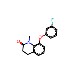 CN1C(=O)CCc2cccc(Oc3cccc(F)c3)c21